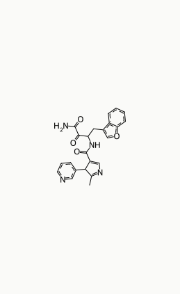 CC1=NC=C(C(=O)NC(Cc2coc3ccccc23)C(=O)C(N)=O)C1c1cccnc1